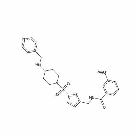 COc1cccc(C(=O)NCc2ccc(S(=O)(=O)N3CCC(NCc4ccncc4)CC3)s2)c1